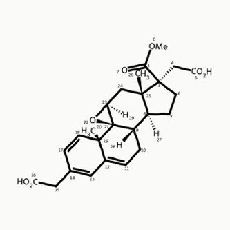 COC(=O)[C@@]1(CC(=O)O)CC[C@H]2[C@@H]3CC=C4C=C(CC(=O)O)C=C[C@]4(C)[C@@]34O[C@H]4C[C@@]21C